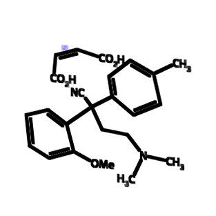 COc1ccccc1C(C#N)(CCN(C)C)c1ccc(C)cc1.O=C(O)/C=C\C(=O)O